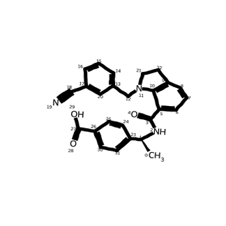 C[C@H](NC(=O)c1cccc2c1N(Cc1cccc(C#N)c1)CC2)c1ccc(C(=O)O)cc1